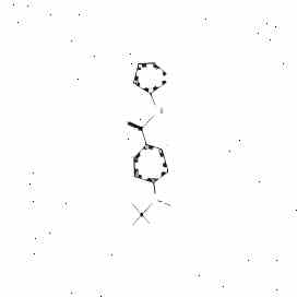 CC(C)(C)N(O)c1ccc(C(=O)Nc2ccco2)cc1